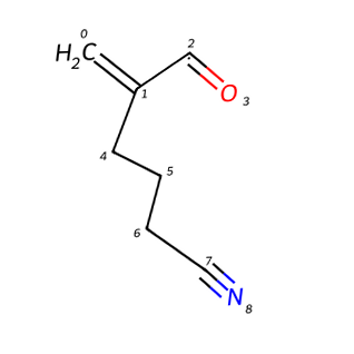 C=C([C]=O)CCCC#N